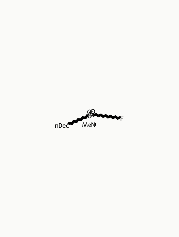 CCCCCCCCCCCCCCCCCCCOS(=O)(=O)CCCCCCCCCCCCF.CNC